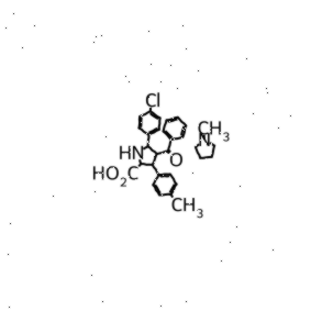 CN1CCCC1.Cc1ccc(C2C(C(=O)O)NC(c3ccc(Cl)cc3)C2C(=O)c2ccccc2)cc1